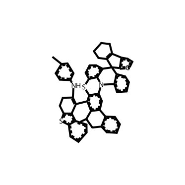 Cc1ccc(NC2=C(c3c4c(cc5c3C(C)Cc3ccccc3-5)N3c5ccccc5C5(C6=C(CCCC6)c6ccccc65)c5cccc(c53)S4)c3c(sc4ccccc34)CC2)cc1